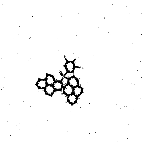 O=P(c1cc(F)c(F)c(F)c1)(c1ccc2ccc3cccc4ccc1c2c34)c1ccc2ccc3cccc4ccc1c2c34